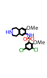 COc1cc2c(cc1NS(=O)(=O)c1cc(Cl)cc(Cl)c1OC)CCNCC2